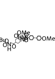 COC(=O)CC1(NNS(=O)(=O)c2ccc(-c3ccc(OC)cc3)cc2)CCC(C(=O)CNC(=O)OC(C)(C)C)CC1